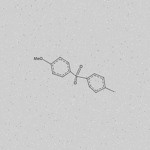 [CH2]c1ccc(S(=O)(=O)c2ccc(OC)cc2)cc1